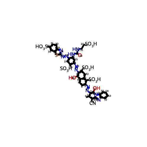 Cc1c(N=Nc2ccc3c(O)c(N=Nc4cc(NC(=O)NCCS(=O)(=O)O)c(N=Nc5nc6ccc(S(=O)(=O)O)cc6s5)cc4S(=O)(=O)O)c(S(=O)(=O)O)cc3c2S(=O)(=O)O)c(O)n2c(nc3ccccc32)c1C#N